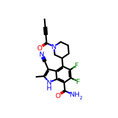 CC#CC(=O)N1CCCC(c2c(F)c(F)c(C(N)=O)c3[nH]c(C)c(C#N)c23)C1